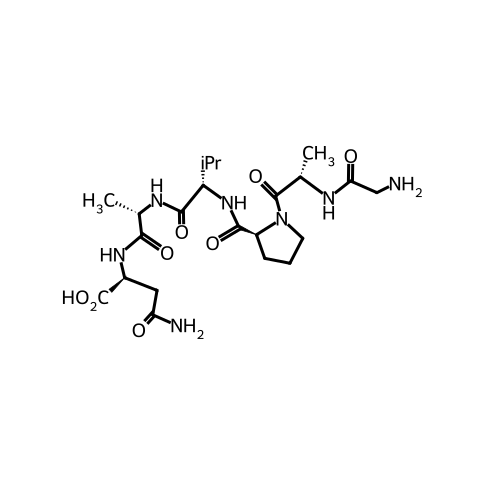 CC(C)[C@H](NC(=O)[C@@H]1CCCN1C(=O)[C@H](C)NC(=O)CN)C(=O)N[C@@H](C)C(=O)N[C@@H](CC(N)=O)C(=O)O